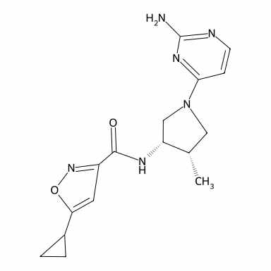 C[C@H]1CN(c2ccnc(N)n2)C[C@H]1NC(=O)c1cc(C2CC2)on1